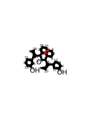 O=C(C(c1ccccc1)C1C(c2cccc(O)c2)C12CC2)C(c1ccccc1)C1C(c2cccc(O)c2)C12CC2